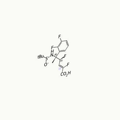 CC(C)(C)[S+]([O-])N[C@](C)(c1cccc(F)c1F)[C@@H](F)/C=C(\F)C(=O)O